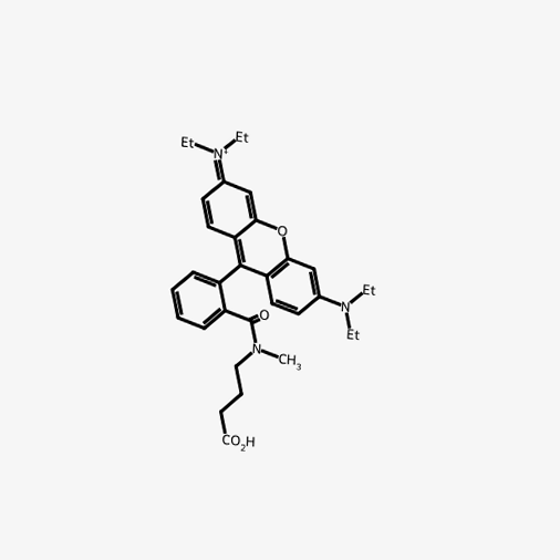 CCN(CC)c1ccc2c(-c3ccccc3C(=O)N(C)CCCC(=O)O)c3ccc(=[N+](CC)CC)cc-3oc2c1